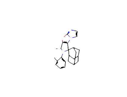 Cc1ccccc1N1[C@@H](C)c2oc3nccn3c2C12C1CC3CC(C1)CC2C3